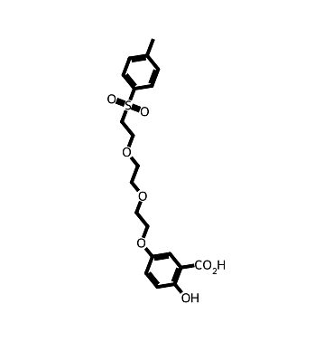 Cc1ccc(S(=O)(=O)CCOCCOCCOc2ccc(O)c(C(=O)O)c2)cc1